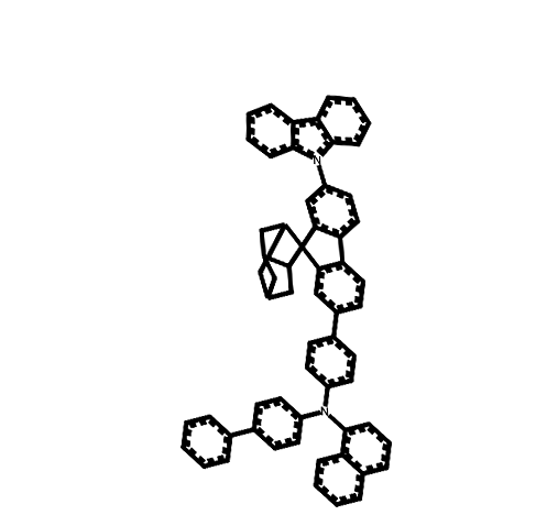 c1ccc(-c2ccc(N(c3ccc(-c4ccc5c(c4)C4(c6cc(-n7c8ccccc8c8ccccc87)ccc6-5)C5CC6CC(C5)C4C6)cc3)c3cccc4ccccc34)cc2)cc1